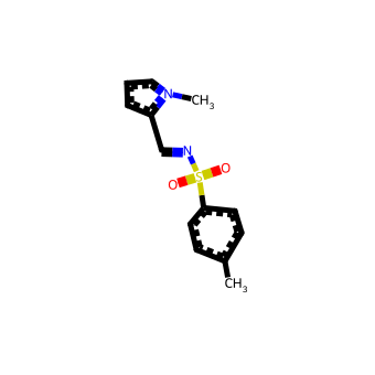 Cc1ccc(S(=O)(=O)N=Cc2cccn2C)cc1